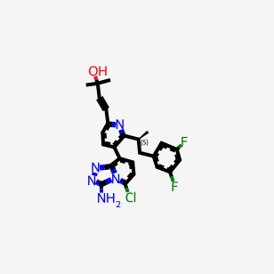 C[C@@H](Cc1cc(F)cc(F)c1)c1nc(C#CC(C)(C)O)ccc1-c1ccc(Cl)n2c(N)nnc12